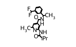 Cc1cc(C(=O)NC(C)c2cccc(C(F)F)c2)cc(NC(=O)C(C)C)n1